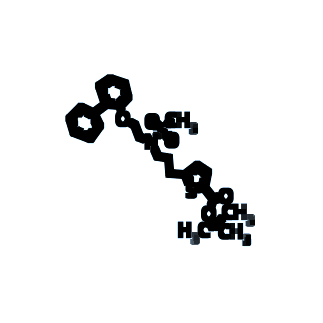 CC(C)(C)OC(=O)c1ccc(CCCN(CCOc2ccccc2-c2ccccc2)S(C)(=O)=O)s1